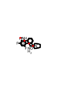 CNC(=O)c1cccc(C(=O)N2C3CCC2CC([C@H](N)Cc2cc(F)c(F)cc2F)C3)c1